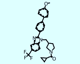 COc1ccc(-c2ccc(-c3nc4cc(C(F)(F)F)ccc4n3CC3CCN(C(=O)C4CC4)C3)cc2)cc1